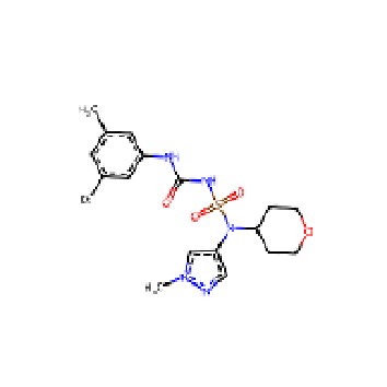 CCc1cc(C)cc(NC(=O)NS(=O)(=O)N(c2cnn(C)c2)C2CCOCC2)c1